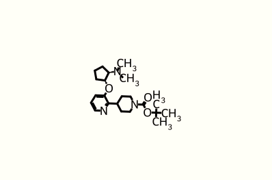 CN(C)[C@@H]1CCC[C@@H]1Oc1cccnc1C1CCN(C(=O)OC(C)(C)C)CC1